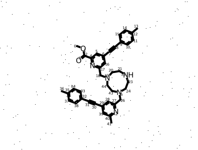 COC(=O)c1cc(C#Cc2ccc(C)cc2)cc(CN2CCNCCN(Cc3cc(C#Cc4ccc(C)cc4)cc(C)n3)CC2)n1